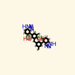 Cc1cc(Cc2cc(C)cc(-c3c(Cl)ccc4[nH]nnc34)c2O)c(O)c(-c2c(Cl)ccc3[nH]nnc23)c1